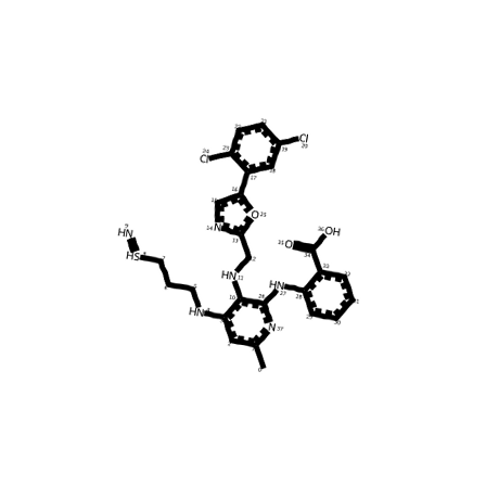 Cc1cc(NCCC[SH]=N)c(NCc2ncc(-c3cc(Cl)ccc3Cl)o2)c(Nc2ccccc2C(=O)O)n1